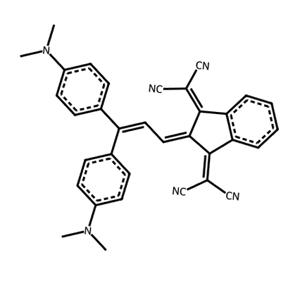 CN(C)c1ccc(C(=CC=C2C(=C(C#N)C#N)c3ccccc3C2=C(C#N)C#N)c2ccc(N(C)C)cc2)cc1